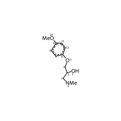 CNCC(O)COc1ccc(OC)cc1